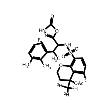 [2H]C([2H])([2H])C1(OC(C)=O)CCOc2c(S(=O)(=O)NC(c3n[nH]c(=O)o3)C(C)c3c(F)ccc(C)c3C)ccc(Cl)c21